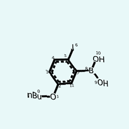 CCCCOc1ccc(I)c(B(O)O)c1